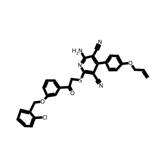 C=CCOc1ccc(-c2c(C#N)c(N)nc(SCC(=O)c3cccc(OCc4ccccc4Cl)c3)c2C#N)cc1